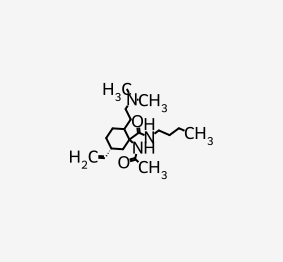 C=C[C@@H]1CCC(CCN(C)C)C(NC(C)=O)(C(=O)NCCCC)C1